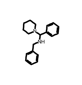 c1ccc(CNC(c2ccccc2)N2CCCCC2)cc1